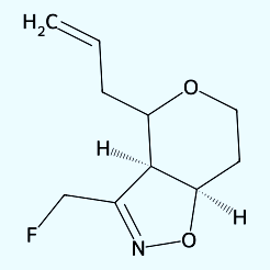 C=CCC1OCC[C@H]2ON=C(CF)[C@@H]12